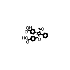 CC(=O)[C@@H]1C(c2ccccc2)[C@@H](C(=O)c2ccc(C(=O)O)cc2)[C@H]1c1ccc(C(=O)O)cc1